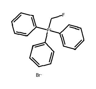 FC[P+](c1ccccc1)(c1ccccc1)c1ccccc1.[Br-]